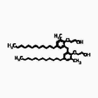 CCCCCCCCCCCCc1cc(C)c(OCCO)c(Cc2cc(CCCCCCCCCCCC)cc(C)c2OCCO)c1